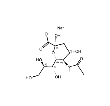 CC(=O)N[C@H]1[C@H]([C@H](O)[C@H](O)CO)O[C@@](O)(C(=O)[O-])C[C@@H]1O.[Na+]